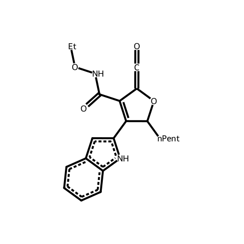 CCCCCC1OC(=C=O)C(C(=O)NOCC)=C1c1cc2ccccc2[nH]1